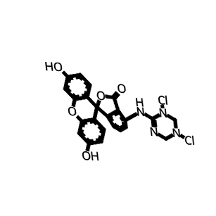 O=C1OC2(c3ccc(O)cc3Oc3cc(O)ccc32)c2cccc(NC3=NCN(Cl)CN3Cl)c21